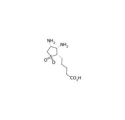 N[C@H]1[C@@H](N)CS(=O)(=O)[C@H]1CCCCC(=O)O